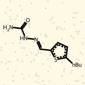 CCCCc1ccc(/C=N/NC(N)=O)s1